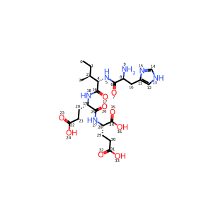 CC[C@H](C)[C@H](NC(=O)[C@@H](N)Cc1c[nH]cn1)C(=O)N[C@@H](CCC(=O)O)C(=O)N[C@@H](CCC(=O)O)C(=O)O